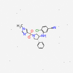 Cn1cnc(S(=O)(=O)N2C[C@@H](Nc3cc(C#N)ccc3Cl)[C@H](c3ccccc3)C2)c1